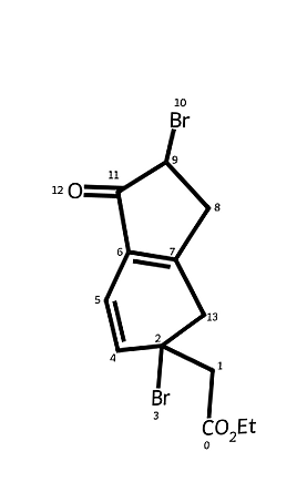 CCOC(=O)CC1(Br)C=CC2=C(CC(Br)C2=O)C1